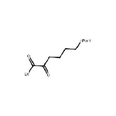 CCCCCCCCCC(=O)C(=O)CC